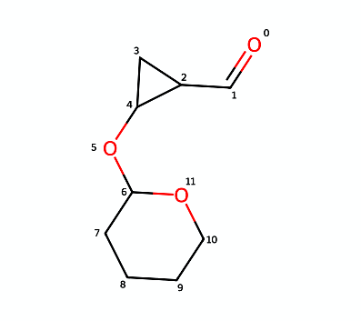 O=CC1CC1OC1CCCCO1